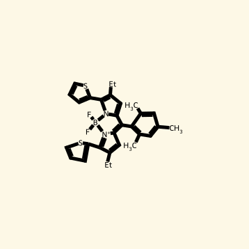 CCC1=CC2=C(c3c(C)cc(C)cc3C)c3cc(CC)c(-c4cccs4)n3[B-](F)(F)[N+]2=C1c1cccs1